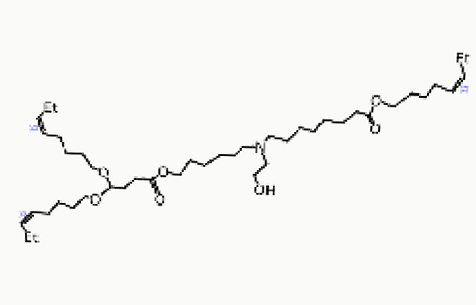 CC/C=C\CCCCOC(=O)CCCCCCCN(CCO)CCCCCCOC(=O)CCC(OCCCC/C=C\CC)OCCCC/C=C\CC